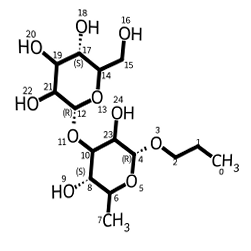 CCCO[C@@H]1OC(C)[C@H](O)C(O[C@H]2OC(CO)[C@@H](O)C(O)C2O)C1O